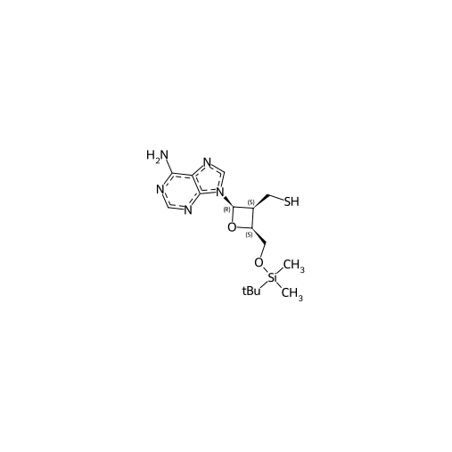 CC(C)(C)[Si](C)(C)OC[C@H]1O[C@@H](n2cnc3c(N)ncnc32)[C@H]1CS